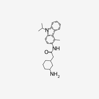 Cc1c(NC(=O)CC2CCCC(N)C2)ccc2c1c1ccccc1n2C(C)C